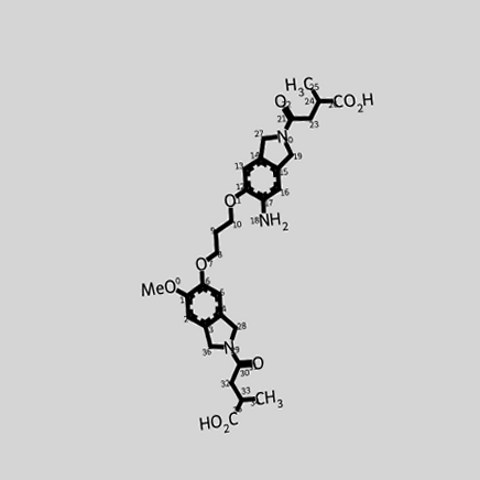 COc1cc2c(cc1OCCCOc1cc3c(cc1N)CN(C(=O)CC(C)C(=O)O)C3)CN(C(=O)CC(C)C(=O)O)C2